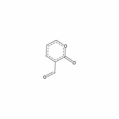 O=Cc1cccoc1=O